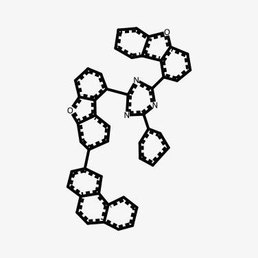 c1ccc(-c2nc(-c3cccc4oc5ccccc5c34)nc(-c3cccc4oc5cc(-c6ccc7ccc8ccccc8c7c6)ccc5c34)n2)cc1